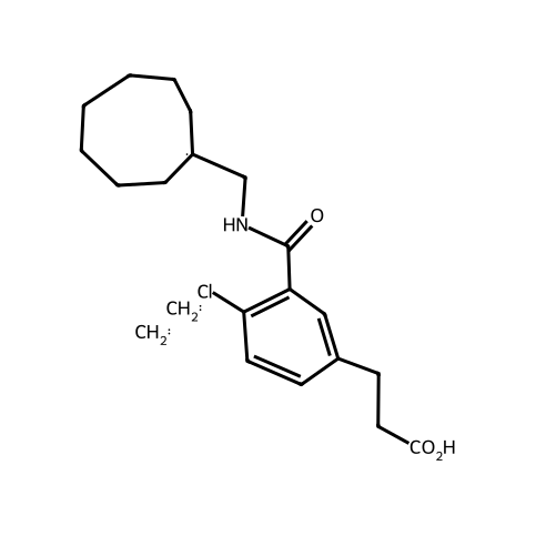 O=C(O)CCc1ccc(Cl)c(C(=O)NC[C]2CCCCCCC2)c1.[CH2].[CH2]